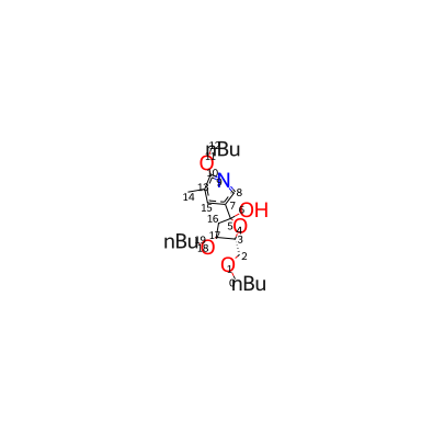 CCCCOC[C@H]1OC(O)(c2cnc(OCCCC)c(C)c2)C[C@H]1OCCCC